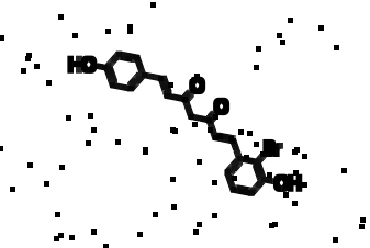 O=C(C=Cc1ccc(O)cc1)CC(=O)C=Cc1cccc(O)c1Br